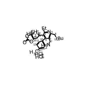 CCc1nc(CC(C)(C)C)c(CN)c(-c2ccc(C)cc2)c1C(Cc1oc(=O)oc1C)C(=O)O.Cl.Cl